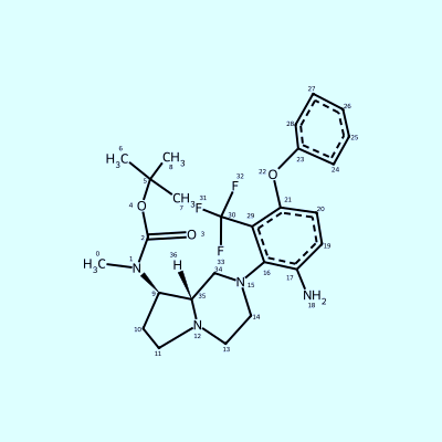 CN(C(=O)OC(C)(C)C)[C@@H]1CCN2CCN(c3c(N)ccc(Oc4ccccc4)c3C(F)(F)F)C[C@@H]12